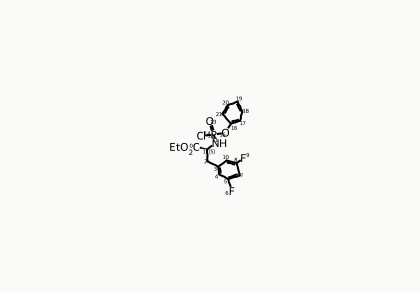 CCOC(=O)[C@H](Cc1cc(F)cc(F)c1)NP(=O)(Cl)Oc1ccccc1